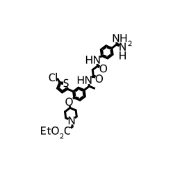 CCOC(=O)CN1CCC(Oc2ccc(C(C)NC(=O)CC(=O)Nc3ccc(C(=N)N)cc3)cc2-c2ccc(Cl)s2)CC1